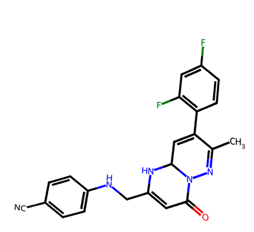 CC1=NN2C(=O)C=C(CNc3ccc(C#N)cc3)NC2C=C1c1ccc(F)cc1F